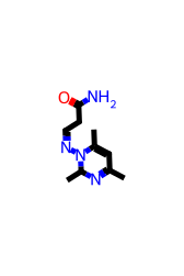 CC1=CC(C)=NC(C)N1/N=C\CC(N)=O